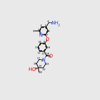 Cc1cc(CN)cc(Oc2cccc(C(=O)N3CCC(C)(O)CC3)c2)n1